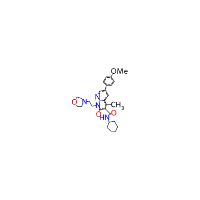 COc1ccc(-c2cnc3c(c2)c(C)c(C(=O)NC2CCCCC2)c(=O)n3CCN2CCOCC2)cc1